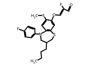 CCCCC1CSc2cc(O/C=C(\F)C=O)c(SC)cc2N(c2ccc(F)cc2)C1